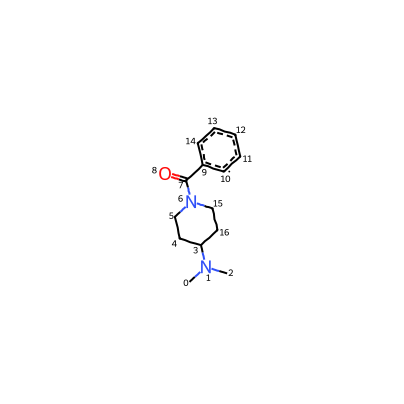 CN(C)C1CCN(C(=O)c2[c]cccc2)CC1